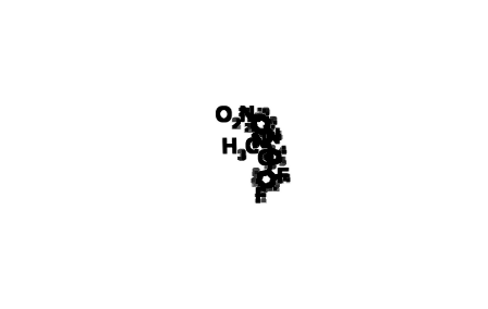 Cn1c(-c2ccc(-c3ccc(F)cc3F)o2)nc2ccc([N+](=O)[O-])cc21